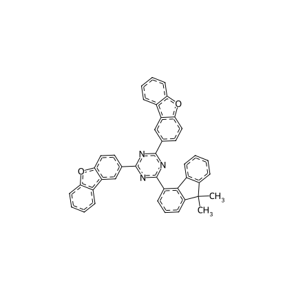 CC1(C)c2ccccc2-c2c(-c3nc(-c4ccc5oc6ccccc6c5c4)nc(-c4ccc5oc6ccccc6c5c4)n3)cccc21